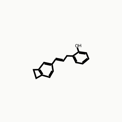 Oc1ccccc1C/C=C/c1ccc2c(c1)CC2